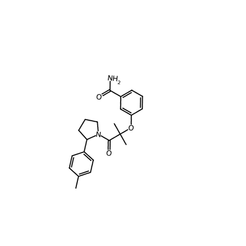 Cc1ccc(C2CCCN2C(=O)C(C)(C)Oc2cccc(C(N)=O)c2)cc1